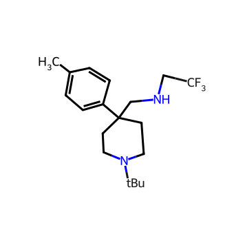 Cc1ccc(C2(CNCC(F)(F)F)CCN(C(C)(C)C)CC2)cc1